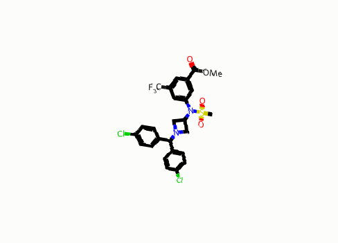 COC(=O)c1cc(N(C2CN(C(c3ccc(Cl)cc3)c3ccc(Cl)cc3)C2)S(C)(=O)=O)cc(C(F)(F)F)c1